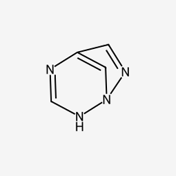 C1=Nc2cnn(c2)N1